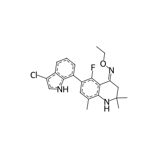 CCO/N=C1/CC(C)(C)Nc2c(C)cc(-c3cccc4c(Cl)c[nH]c34)c(F)c21